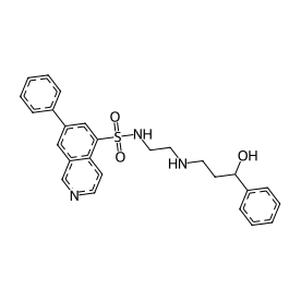 O=S(=O)(NCCNCCC(O)c1ccccc1)c1cc(-c2ccccc2)cc2cnccc12